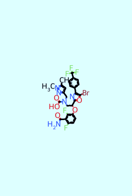 Cc1cc(CN(CC(Oc2ccc(F)c(C(N)=O)c2F)c2nc(-c3ccc(C(F)(F)F)cc3)c(Br)o2)C(=O)O)nn1C